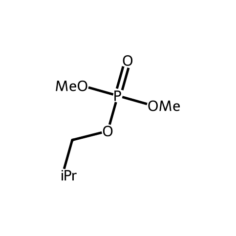 COP(=O)(OC)OCC(C)C